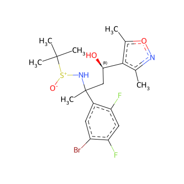 Cc1noc(C)c1[C@H](O)CC(C)(N[S+]([O-])C(C)(C)C)c1cc(Br)c(F)cc1F